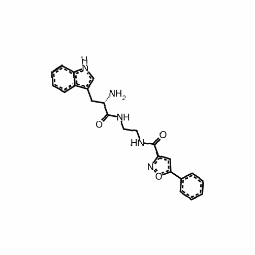 N[C@@H](Cc1c[nH]c2ccccc12)C(=O)NCCNC(=O)c1cc(-c2ccccc2)on1